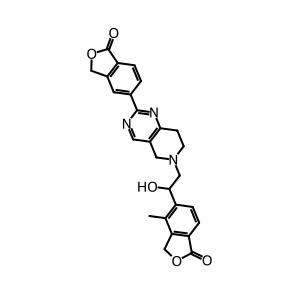 Cc1c(C(O)CN2CCc3nc(-c4ccc5c(c4)COC5=O)ncc3C2)ccc2c1COC2=O